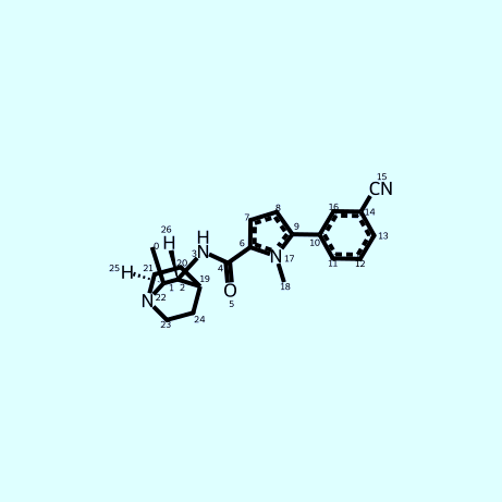 C[C@H]1[C@H](NC(=O)c2ccc(-c3cccc(C#N)c3)n2C)C2CCN1CC2